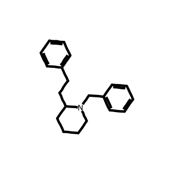 c1ccc(CCC2CCCCN2Cc2ccccc2)cc1